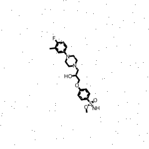 COS(=N)(=O)c1ccc(OCC(O)CN2CCN(c3ccc(F)c(C)c3)CC2)cc1